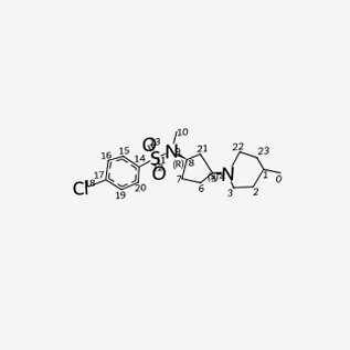 CC1CCN([C@H]2CC[C@@H](N(C)S(=O)(=O)c3ccc(Cl)cc3)C2)CC1